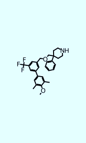 COc1c(C)cc(-c2cc(COCC3(c4ccccc4)CCNCC3)cc(C(F)(F)F)c2)cc1C